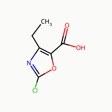 CCc1nc(Cl)oc1C(=O)O